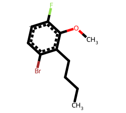 CCCCc1c(Br)c[c]c(F)c1OC